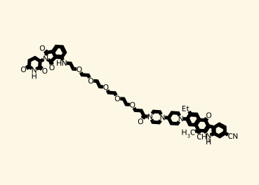 CCc1cc2c(cc1N1CCC(N3CCN(C(=O)CCOCCOCCOCCOCCOCCNc4cccc5c4C(=O)N(C4CCC(=O)NC4=O)C5=O)CC3)CC1)C(C)(C)c1[nH]c3cc(C#N)ccc3c1C2=O